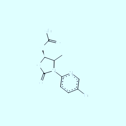 CCCC(=O)O[C@@H]1OC(=O)N(c2ccc(Br)cn2)C1C